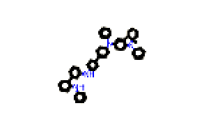 CC12C=CC=CC1c1cc(N(c3ccccc3)c3ccc(-c4ccc(Nc5cccc(-c6ccccc6Nc6ccccc6)c5)cc4)cc3)ccc1N2c1ccccc1